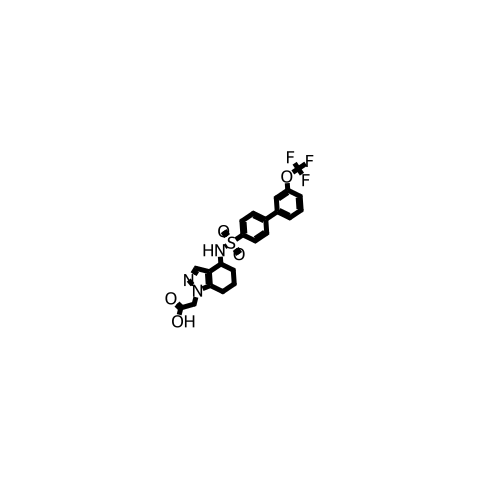 O=C(O)Cn1ncc2c1CCCC2NS(=O)(=O)c1ccc(-c2cccc(OC(F)(F)F)c2)cc1